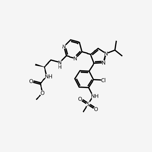 COC(=O)N[C@@H](C)CNc1nccc(-c2cn(C(C)C)nc2-c2cccc(NS(C)(=O)=O)c2Cl)n1